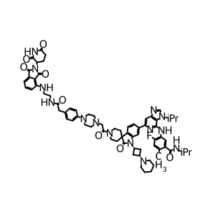 Cc1cc(F)c(Nc2nc(-c3ccc4c(c3)N([C@H]3C[C@@H](N5CCCCC5)C3)C(=O)C43CCN(C(=O)CN4CCN(c5ccc(CC(=O)NCCNc6cccc7c6C(=O)N(C6CCC(=O)NC6=O)C7=O)cc5)CC4)CC3)cc3ncn(C(C)C)c23)cc1C(=O)NC(C)C